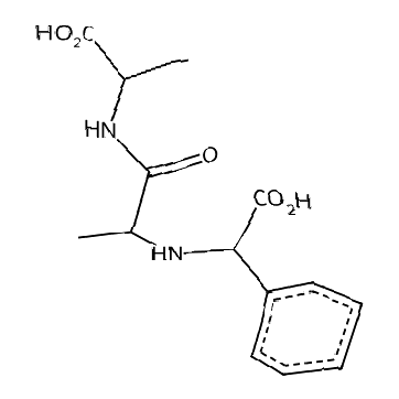 CC(NC(=O)C(C)NC(C(=O)O)c1ccccc1)C(=O)O